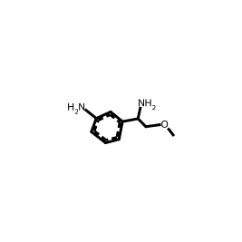 COCC(N)c1cccc(N)c1